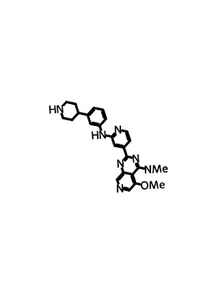 CNc1nc(-c2ccnc(Nc3cccc(C4CCNCC4)c3)c2)nc2cncc(OC)c12